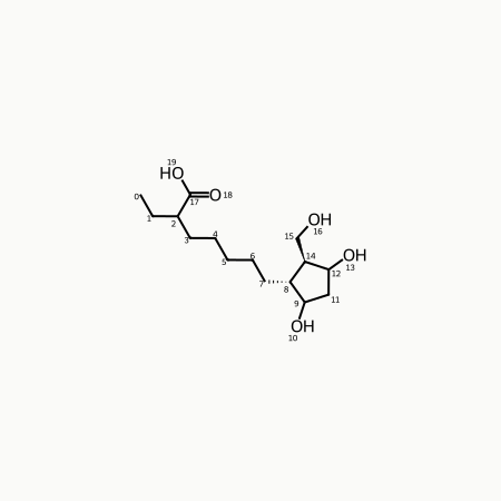 CCC(CCCCC[C@H]1C(O)CC(O)[C@@H]1CO)C(=O)O